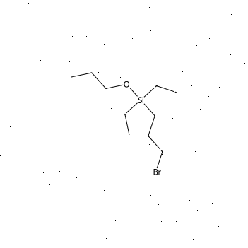 CCCO[Si](CC)(CC)CCCBr